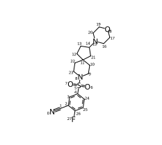 N#Cc1cc(S(=O)(=O)N2CCC3(CCC(N4CCOCC4)C3)CC2)ccc1F